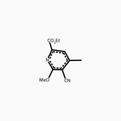 CCOC(=O)c1cc(C)c(C#N)c(OC)n1